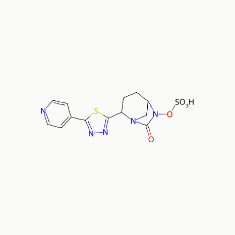 O=C1N2CC(CCC2c2nnc(-c3ccncc3)s2)N1OS(=O)(=O)O